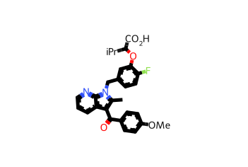 COc1ccc(C(=O)c2c(C)n(Cc3ccc(F)c(OC(C(=O)O)C(C)C)c3)c3ncccc23)cc1